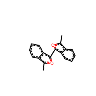 Cc1oc(-c2oc(C)c3ccccc23)c2ccccc12